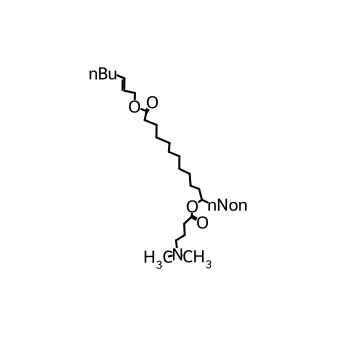 CCCCC=CCOC(=O)CCCCCCCCCCC(CCCCCCCCC)OC(=O)CCCN(C)C